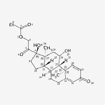 CCC(=O)OCC(=O)[C@@]1(O)CC[C@H]2[C@@H]3CCC4=CC(=O)C=C[C@]4(C)[C@H]3C(O)C[C@@]21C